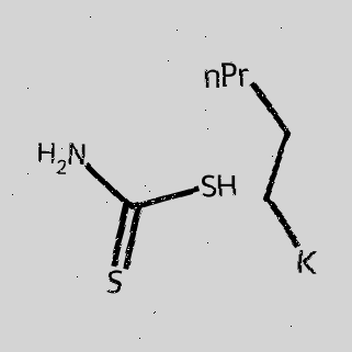 CCCC[CH2][K].NC(=S)S